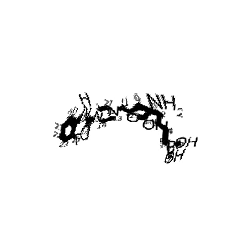 NC(CCCCB(O)O)(CCCN1CCN(C(=O)Nc2ccccc2F)CC1)C(=O)O